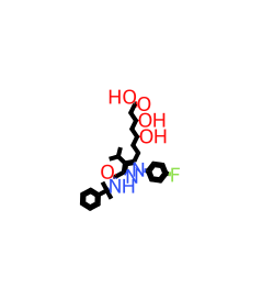 CC(C)c1c(C(=O)NC(C)(C)c2ccccc2)nn(-c2ccc(F)cc2)c1CC[C@@H](O)C[C@@H](O)CC(=O)O